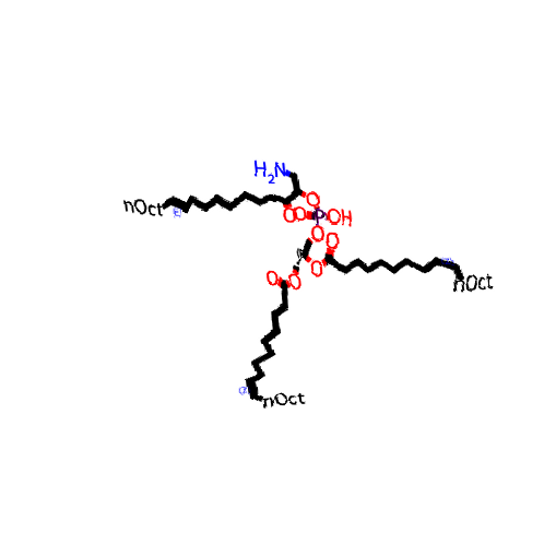 CCCCCCCC/C=C\CCCCCCCC(=O)OC[C@H](COP(=O)(O)OC(CN)C(=O)CCCCCCC/C=C/CCCCCCCC)OC(=O)CCCCCCC/C=C\CCCCCCCC